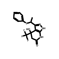 CC(Sc1ccccc1)c1n[nH]c2c1C(O)(C(F)(F)F)CC(=O)N2